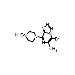 Cc1nc(N2CCN(C)CC2)c2nnnn2c1Br